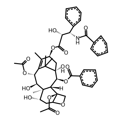 CC(=O)O[C@@H]1C2=C(C)[C@@H](OC(=O)[C@H](O)[C@@H](NC(=O)c3ccccc3)c3ccccc3)C[C@@](O)([C@@H](OC(=O)c3ccccc3)[C@H]3[C@@](C)([C@@H](O)CC4OC[C@]43OC(C)=O)[C@H]1O)C2(C)C